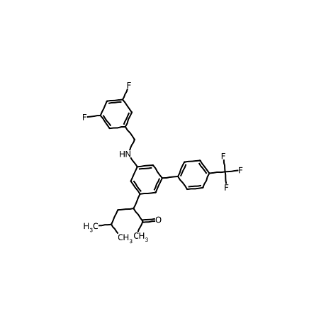 CC(=O)C(CC(C)C)c1cc(NCc2cc(F)cc(F)c2)cc(-c2ccc(C(F)(F)F)cc2)c1